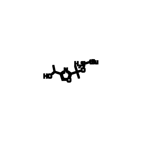 CC(O)c1coc(C(C)(C)O[SiH2]C(C)(C)C)n1